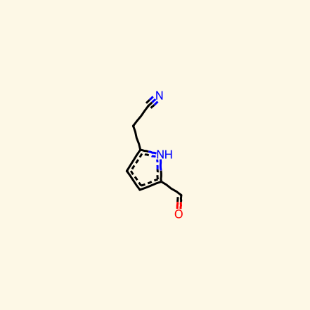 N#CCc1ccc(C=O)[nH]1